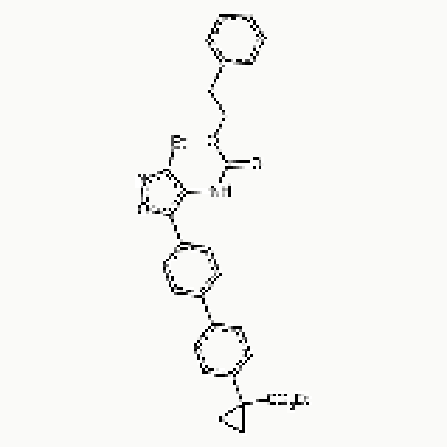 CCOC(=O)C1(c2ccc(-c3ccc(-c4onc(CC)c4NC(=O)OCCc4ccccc4)cc3)cc2)CC1